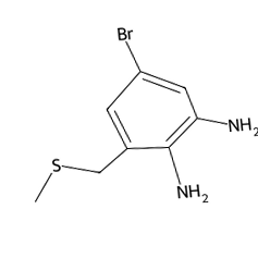 CSCc1cc(Br)cc(N)c1N